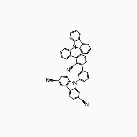 N#Cc1ccc2c(c1)c1ccc(C#N)cc1n2-c1cccc(-c2cccc(-c3ccccc3-n3c4ccccc4c4ccccc43)c2C#N)c1